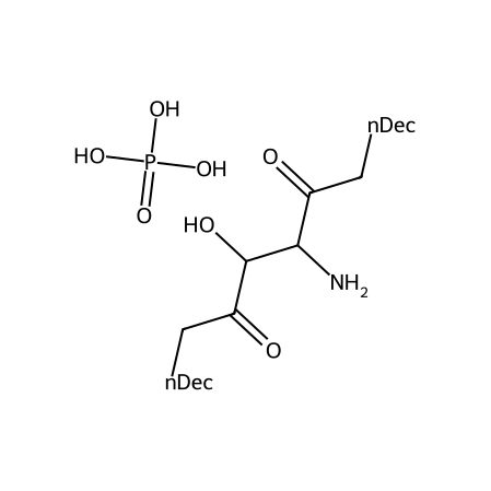 CCCCCCCCCCCC(=O)C(N)C(O)C(=O)CCCCCCCCCCC.O=P(O)(O)O